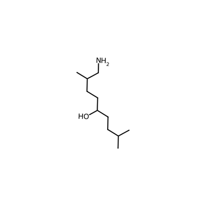 CC(C)CCC(O)CCC(C)CN